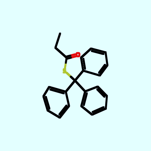 CCC(=O)SC(c1ccccc1)(c1ccccc1)c1ccccc1